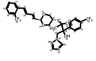 CC(C)(S[C@H]1CO[C@H](/C=C/C=C/c2ccccc2C(F)(F)F)OC1)C(O)(Cn1cncn1)c1ccc(C(F)(F)F)cc1